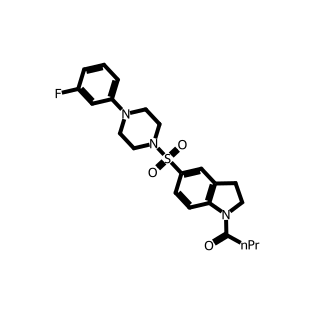 CCCC(=O)N1CCc2cc(S(=O)(=O)N3CCN(c4cccc(F)c4)CC3)ccc21